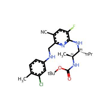 CCC[C@@H](Nc1nc(CNc2ccc(C)c(Cl)c2)c(C#N)cc1F)[C@H](C)NC(=O)OC(C)(C)C